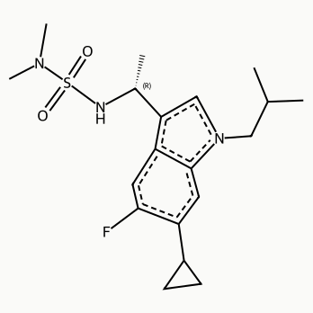 CC(C)Cn1cc([C@@H](C)NS(=O)(=O)N(C)C)c2cc(F)c(C3CC3)cc21